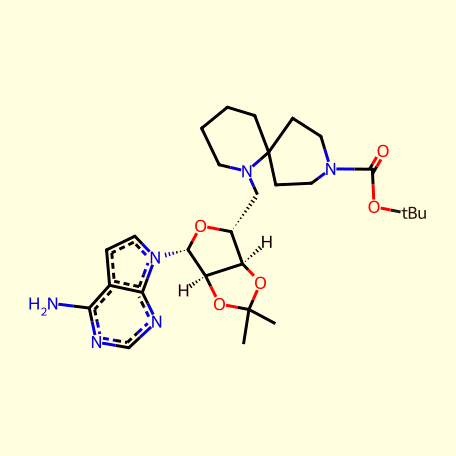 CC(C)(C)OC(=O)N1CCC2(CCCCN2C[C@H]2O[C@@H](n3ccc4c(N)ncnc43)[C@@H]3OC(C)(C)O[C@@H]32)CC1